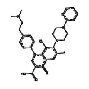 CN(C)CCc1ccc(-n2cc(C(=O)O)c(=O)c3cc(F)c(N4CCN(c5ccccn5)CC4)c(Cl)c32)cc1